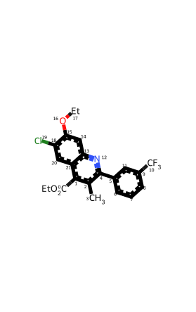 CCOC(=O)c1c(C)c(-c2cccc(C(F)(F)F)c2)nc2cc(OCC)c(Cl)cc12